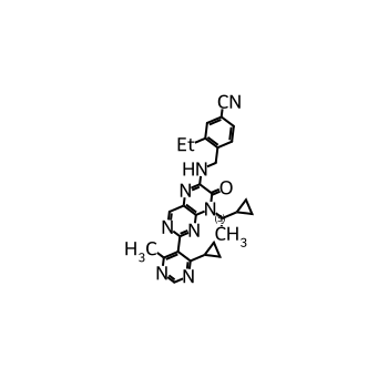 CCc1cc(C#N)ccc1CNc1nc2cnc(-c3c(C)ncnc3C3CC3)nc2n([C@@H](C)C2CC2)c1=O